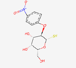 O=[N+]([O-])c1ccc(O[C@@H]2[C@@H](O)[C@@H](O)[C@@H](CO)O[C@H]2S)cc1